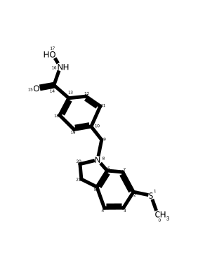 CSc1ccc2c(c1)N(Cc1ccc(C(=O)NO)cc1)CC2